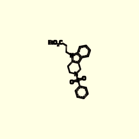 CCOC(=O)CCn1c2c(c3ccccc31)CN(S(=O)(=O)c1ccccc1)CC2